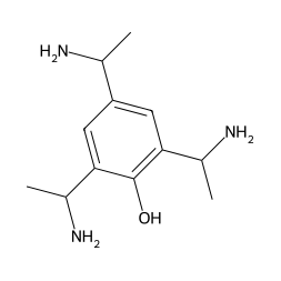 CC(N)c1cc(C(C)N)c(O)c(C(C)N)c1